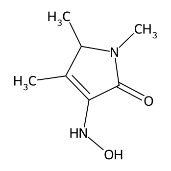 CC1=C(NO)C(=O)N(C)C1C